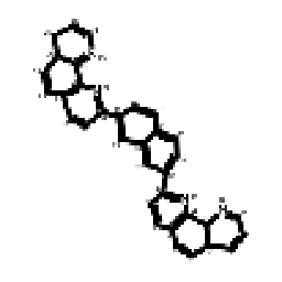 C1=CC2C=Cc3ccc(-c4ccc5ccc(-c6ccc7c(n6)C6=NC=CCC6C=C7)cc5c4)nc3C2N=C1